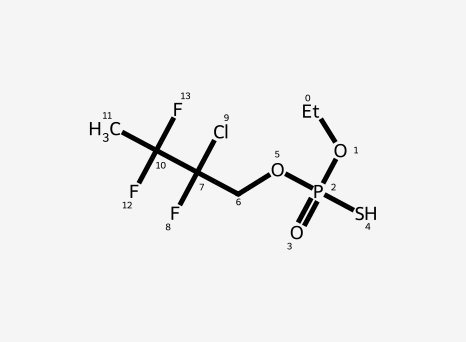 CCOP(=O)(S)OCC(F)(Cl)C(C)(F)F